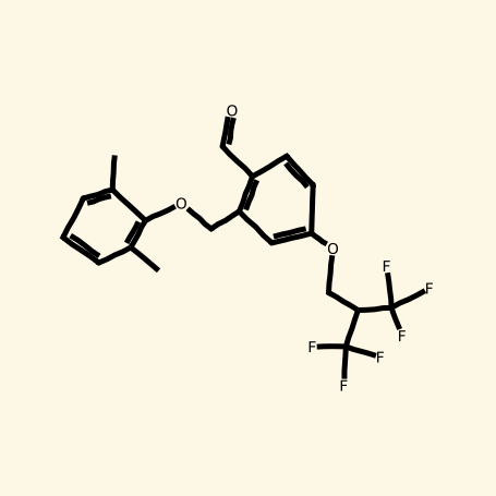 Cc1cccc(C)c1OCc1cc(OCC(C(F)(F)F)C(F)(F)F)ccc1C=O